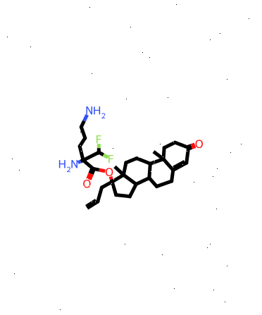 C=CCC1(OC(=O)C(N)(CCCN)C(F)F)CCC2C3CCC4=CC(=O)CCC4(C)C3CCC21C